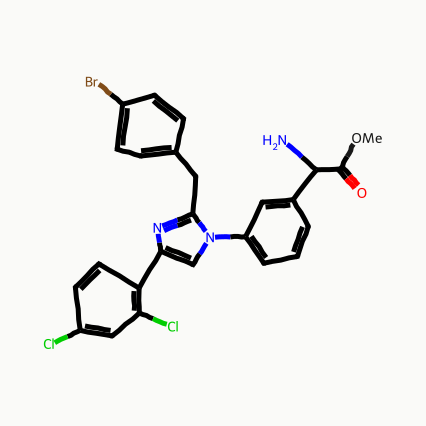 COC(=O)C(N)c1cccc(-n2cc(-c3ccc(Cl)cc3Cl)nc2Cc2ccc(Br)cc2)c1